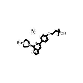 CCN1CCN(c2nc(-c3ccc(OCCC(C)(C)O)cc3)cc3ccoc23)CC1.Cl.Cl